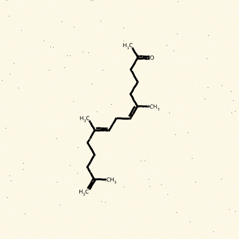 C=C(C)CCCC(C)=CCC=C(C)CCCC(C)=O